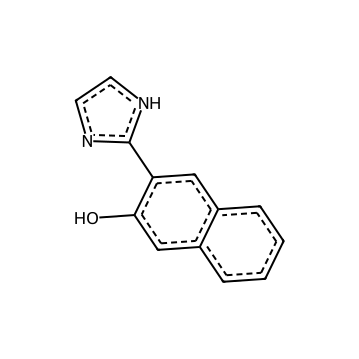 Oc1cc2ccccc2cc1-c1ncc[nH]1